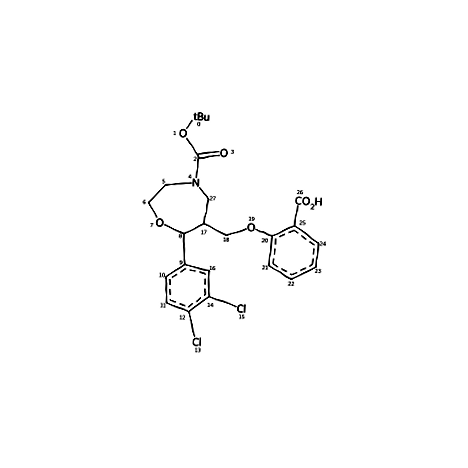 CC(C)(C)OC(=O)N1CCOC(c2ccc(Cl)c(Cl)c2)C(COc2ccccc2C(=O)O)C1